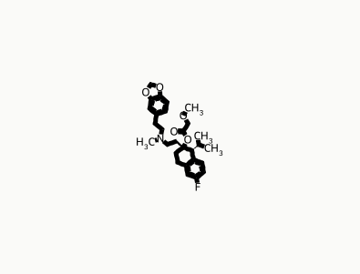 COCC(=O)O[C@@]1(CCN(C)CCc2ccc3c(c2)OCO3)CCc2cc(F)ccc2[C@H]1C(C)C